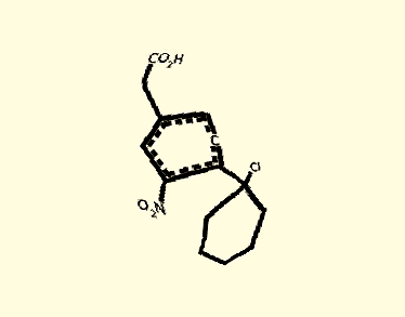 O=C(O)Cc1ccc(C2(Cl)CCCCC2)c([N+](=O)[O-])c1